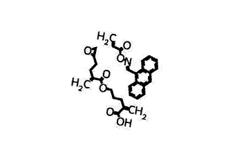 C=C(CCCOC(=O)C(=C)CCC1CO1)C(=O)O.C=CC(=O)ON=Cc1c2ccccc2cc2ccccc12